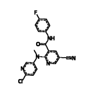 CN(c1ccc(Cl)nc1)c1ncc(C#N)cc1C(=O)Nc1ccc(F)cc1